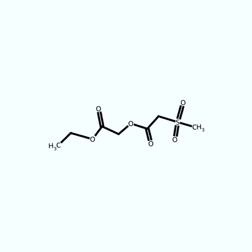 CCOC(=O)COC(=O)CS(C)(=O)=O